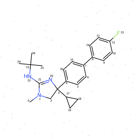 CN1CC(c2ccc(-c3ccc(F)cc3)cc2)(C2CC2)N=C1NC(C)(C)C